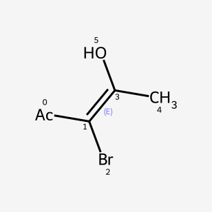 CC(=O)/C(Br)=C(/C)O